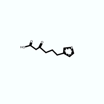 O=C(O)CC(=O)CCCc1ccsc1